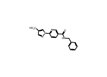 O=C(O)c1cnn(-c2ccc(C(=O)NCc3ccccc3)cn2)c1